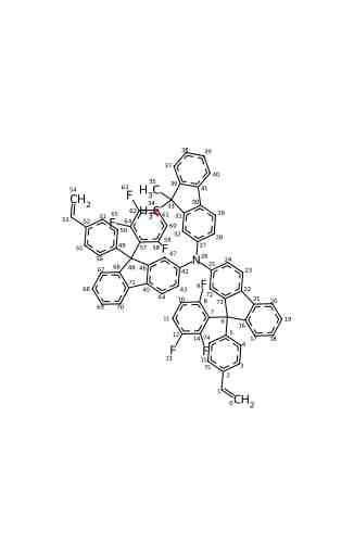 C=Cc1ccc(C2(c3c(F)ccc(F)c3F)c3ccccc3-c3ccc(N(c4ccc5c(c4)C(C)(C)c4ccccc4-5)c4ccc5c(c4)C(c4ccc(C=C)cc4)(c4c(F)ccc(F)c4F)c4ccccc4-5)cc32)cc1